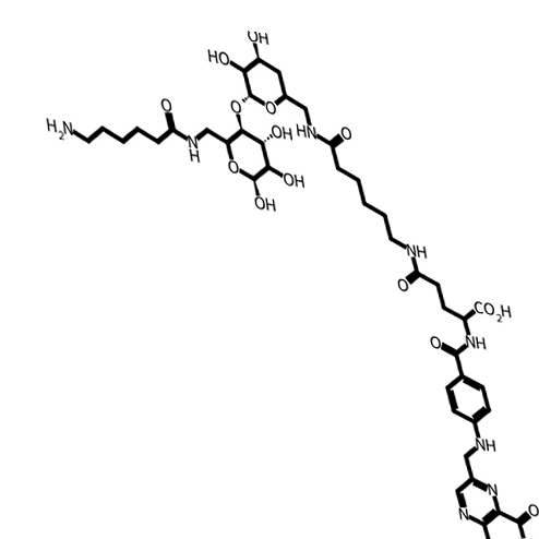 NCCCCCC(=O)NCC1O[C@H](O)C(O)[C@@H](O)[C@@H]1O[C@H]1OC(CNC(=O)CCCCCNC(=O)CCC(NC(=O)c2ccc(NCc3cnc4nc(N)[nH]c(=O)c4n3)cc2)C(=O)O)C[C@H](O)C1O